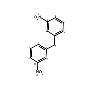 O=[N+]([O-])c1cccc(Cc2cccc([N+](=O)[O-])c2)c1